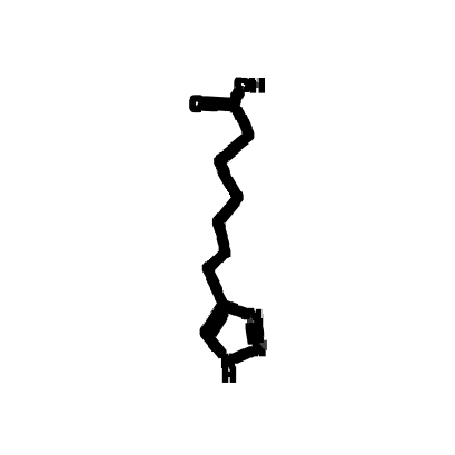 O=C(O)CCCCCCc1c[nH]nn1